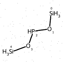 [SiH3]OPO[SiH3]